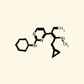 C=C/C(=C(/CC1CC1)NC)c1ccnc(NC2CCCCC2)n1